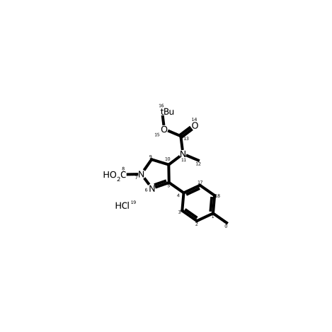 Cc1ccc(C2=NN(C(=O)O)CC2N(C)C(=O)OC(C)(C)C)cc1.Cl